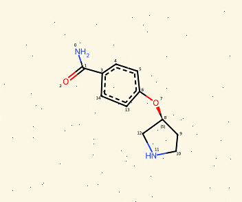 NC(=O)c1ccc(O[C@H]2CCNC2)cc1